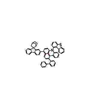 c1ccc(-c2ccccc2-c2ccccc2-c2ccccc2N(c2ccc(-c3ccc4c(c3)C3(CC5CCC3C5)c3ccccc3-4)cc2)c2cccc3sc4ccccc4c23)cc1